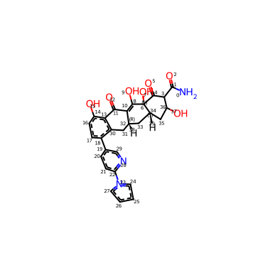 NC(=O)C1C(=O)[C@@]2(O)C(O)=C3C(=O)c4c(O)ccc(-c5ccc(-n6cccc6)nc5)c4C[C@H]3C[C@H]2CC1O